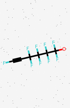 [O]C(F)(F)C(F)(F)C(F)(F)C(F)(F)C#CF